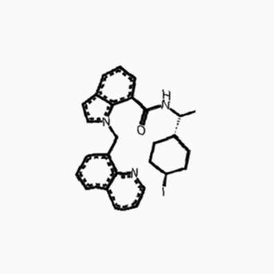 CC(NC(=O)c1cccc2ccn(Cc3cccc4cccnc34)c12)[C@H]1CC[C@H](I)CC1